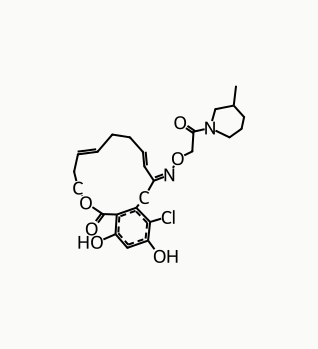 CC1CCCN(C(=O)CO/N=C2\C=C\CC/C=C/CCOC(=O)c3c(O)cc(O)c(Cl)c3C2)C1